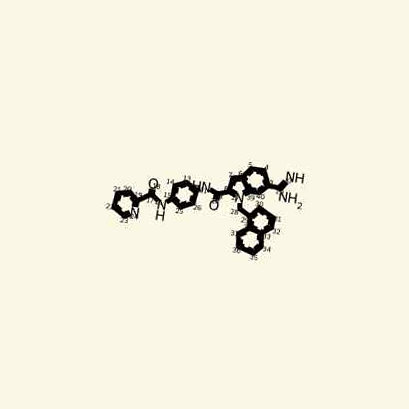 N=C(N)c1ccc2cc(C(=O)Nc3ccc(NC(=O)c4ccccn4)cc3)n(Cc3cccc4ccccc34)c2c1